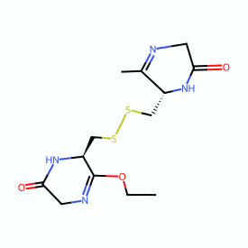 CCOC1=NCC(=O)N[C@H]1CSSC[C@H]1NC(=O)CN=C1C